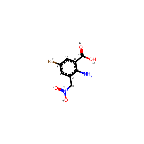 Nc1c(C[N+](=O)[O-])cc(Br)cc1C(=O)O